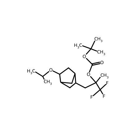 CC(C)OC1CC2CC1CC2CC(C)(OC(=O)OC(C)(C)C)C(F)(F)F